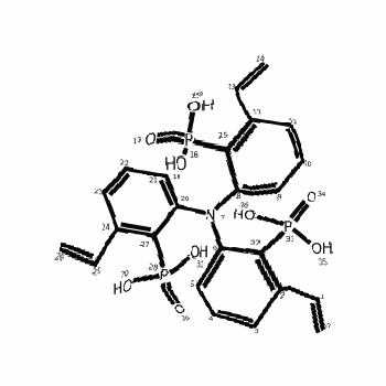 C=Cc1cccc(N(c2cccc(C=C)c2P(=O)(O)O)c2cccc(C=C)c2P(=O)(O)O)c1P(=O)(O)O